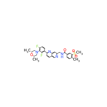 Cc1ccc(C(=O)NCc2cc3nc(-c4ccc(F)c(N5C[C@@H](C)O[C@@H](C)C5)c4F)ccc3cn2)cc1S(C)(=O)=O